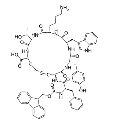 C[C@@H](O)[C@@H]1NC(=O)[C@H](CCCCN)NC(=O)[C@@H](Cc2c[nH]c3ccccc23)NC(=O)[C@H](Cc2ccc(O)cc2)NC(=O)[C@@H](NC(=O)[C@@H](Cc2ccccc2)NC(=O)OCC2c3ccccc3-c3ccccc32)CSSC[C@@H](C(=O)O)NC1=O